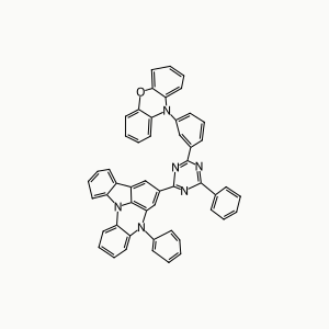 c1ccc(-c2nc(-c3cccc(N4c5ccccc5Oc5ccccc54)c3)nc(-c3cc4c5c(c3)c3ccccc3n5-c3ccccc3N4c3ccccc3)n2)cc1